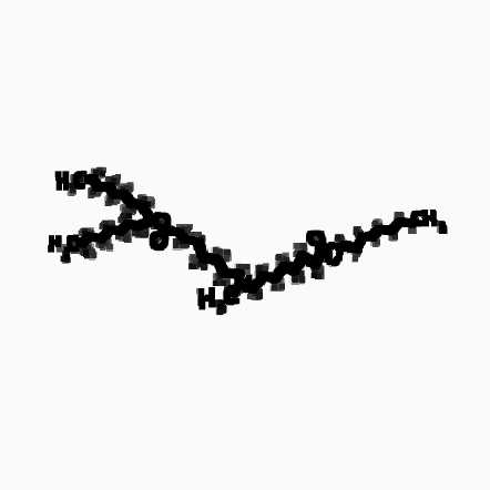 CCCCCCCCCOC(=O)CCCCCCCN(C)CCCCCCCC(=O)OC(CCCCCCCC)CCCCCCCC